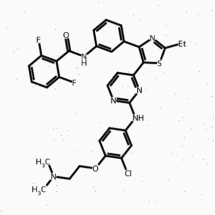 CCc1nc(-c2cccc(NC(=O)c3c(F)cccc3F)c2)c(-c2ccnc(Nc3ccc(OCCN(C)C)c(Cl)c3)n2)s1